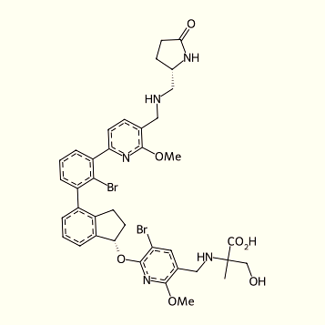 COc1nc(-c2cccc(-c3cccc4c3CC[C@@H]4Oc3nc(OC)c(CNC(C)(CO)C(=O)O)cc3Br)c2Br)ccc1CNC[C@@H]1CCC(=O)N1